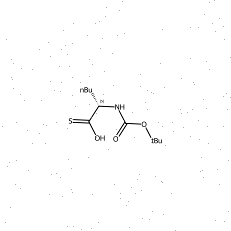 CCCC[C@H](NC(=O)OC(C)(C)C)C(O)=S